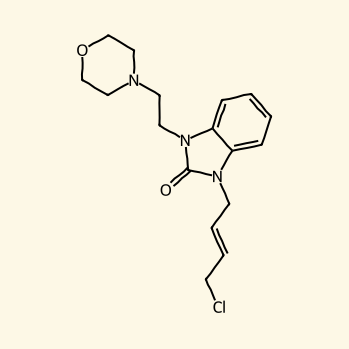 O=c1n(C/C=C/CCl)c2ccccc2n1CCN1CCOCC1